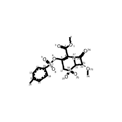 COC(=O)C1=C(OS(=O)(=O)c2ccc(C)cc2)CS(=O)(=O)C2[C@@H](OC)C(=O)N12